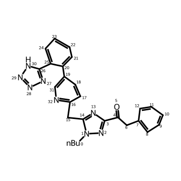 CCCCn1nc(C(=O)Cc2ccccc2)nc1Cc1ccc(-c2ccccc2-c2nnn[nH]2)cn1